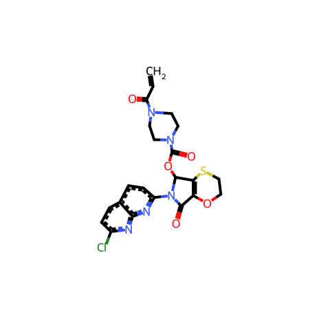 C=CC(=O)N1CCN(C(=O)OC2C3=C(OCCS3)C(=O)N2c2ccc3ccc(Cl)nc3n2)CC1